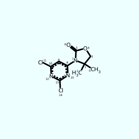 CC1(C)COC(=O)N1c1cc(Cl)nc(Cl)n1